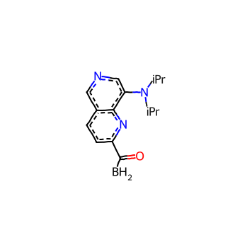 BC(=O)c1ccc2cncc(N(C(C)C)C(C)C)c2n1